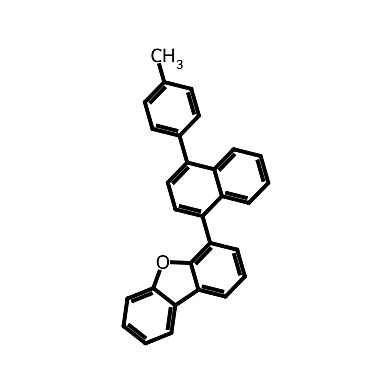 Cc1ccc(-c2ccc(-c3cccc4c3oc3ccccc34)c3ccccc23)cc1